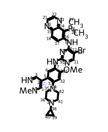 CN/C=C(\C=N)c1cc(Nc2ncc(Br)c(Nc3ccc4nccnc4c3P(C)C)n2)c(OC)cc1N1CCN(C2CC2)CC1